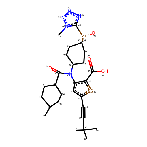 CC1CCC(C(=O)N(c2cc(C#CC(C)(C)C)sc2C(=O)O)C2CCC([S@@+]([O-])c3nnnn3C)CC2)CC1